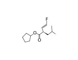 CC(C)C[C@H](/C=C/F)C(=O)OC1CCCC1